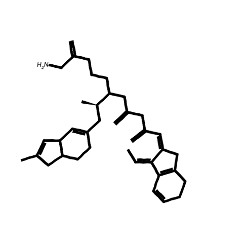 C=C(/C=C1/CC2=C(C=CCC2)/C1=C/C)CC(=C)CC(CCCC(=C)CN)[C@H](C)CC1=CC2C=C(C)CC2CC1